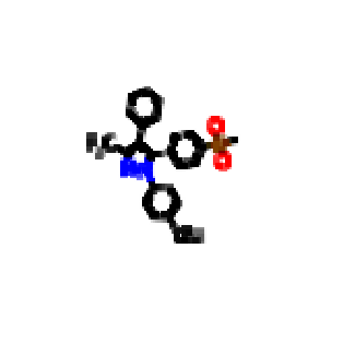 CC(C)(C)c1ccc(-n2nc(C(F)(F)F)c(-c3ccccc3)c2-c2ccc(S(C)(=O)=O)cc2)cc1